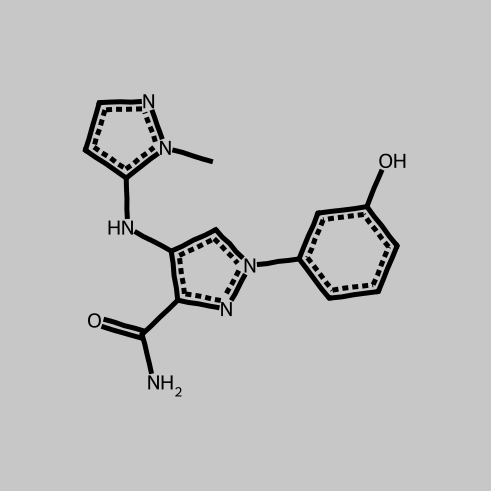 Cn1nccc1Nc1cn(-c2cccc(O)c2)nc1C(N)=O